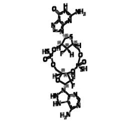 Nc1nc2c(ncn2[C@@H]2S[C@@H]3COP(=O)(S)O[C@@H]4[C@@H](COP(=O)(S)O[C@@H]2[C@H]3F)O[C@@H](N2NNc3c(N)ncnc32)C4(F)F)c(=O)[nH]1